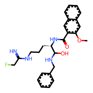 COc1cc2ccccc2cc1C(=O)N[C@@H](CCCNC(=N)CF)C(O)NCc1ccccc1